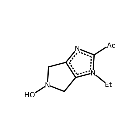 CCn1c(C(C)=O)nc2c1CN(O)C2